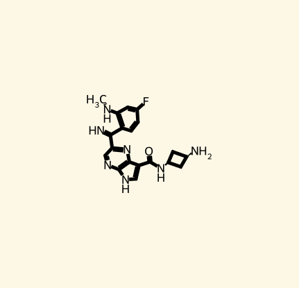 CNc1cc(F)ccc1C(=N)c1cnc2[nH]cc(C(=O)N[C@H]3C[C@@H](N)C3)c2n1